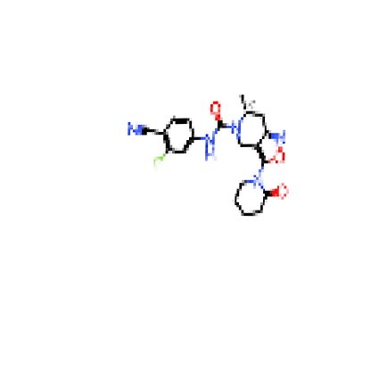 C[C@H]1Cc2noc(N3CCCCC3=O)c2CN1C(=O)Nc1ccc(C#N)c(F)c1